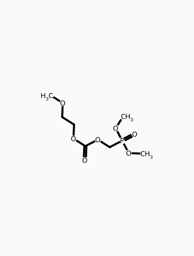 COCCOC(=O)OCP(=O)(OC)OC